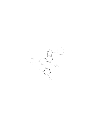 COc1cc(Br)cc(F)c1C1NC(C)(C)Cc2c1ccc1c2cnn1C1CCCCO1